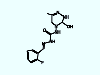 CC1=NNC(O)N(NC(=O)N/N=C/c2ccccc2F)C1